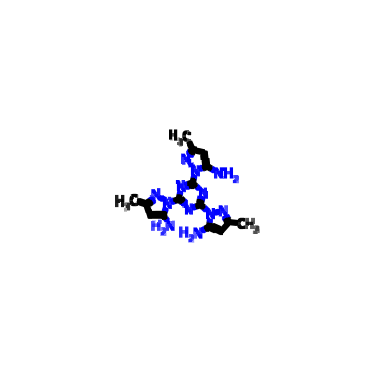 Cc1cc(N)n(-c2nc(-n3nc(C)cc3N)nc(-n3nc(C)cc3N)n2)n1